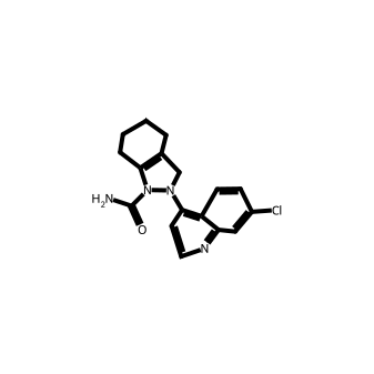 NC(=O)N1C2=C(C[CH]CC2)CN1c1ccnc2cc(Cl)ccc12